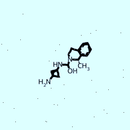 C[C@H]1c2ccccc2CCN1C(O)NC12CC(N)(C1)C2